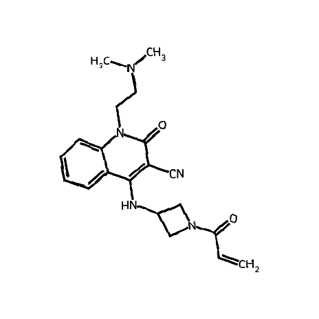 C=CC(=O)N1CC(Nc2c(C#N)c(=O)n(CCN(C)C)c3ccccc23)C1